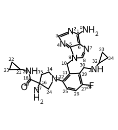 Nc1ncnc2c1ncn2Cc1c(N2CCC(N)(C(=O)NC3CC3)C2)ccc(F)c1CNC1CC1